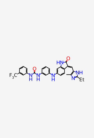 CCc1nc(C)c(C=C2C(=O)Nc3cc(Nc4cccc(NC(=O)Nc5cccc(C(F)(F)F)c5)c4)ccc32)[nH]1